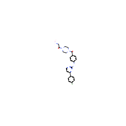 O=C(CN(O)O)N1CCN(C(=O)c2ccc(Nc3nccc(-c4ccc(Cl)cc4)n3)cc2)CC1